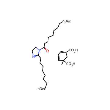 CC1(C(=O)O)C=CC=C(C(=O)O)C1.CCCCCCCCCCCCCCCCCC(=O)N1CCN=C1CCCCCCCCCCCCCCCCC